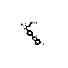 Cc1ccc2nc(-c3ccc(NC(C)CCO)cc3)sc2c1